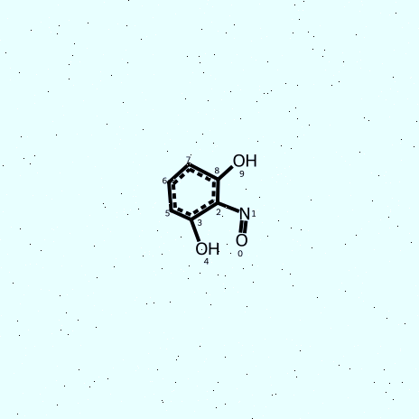 O=Nc1c(O)cccc1O